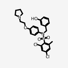 Cc1cc(Cl)cc(Cl)c1S(=O)(=O)N(Cc1cccc(O)c1)c1ccc(OCCN2CCCC2)cc1